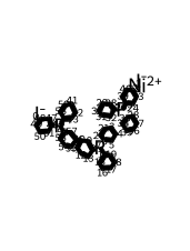 [I-].[I-].[Ni+2].c1ccc(P(c2ccccc2)c2ccccc2)cc1.c1ccc(P(c2ccccc2)c2ccccc2)cc1.c1ccc(P(c2ccccc2)c2ccccc2)cc1